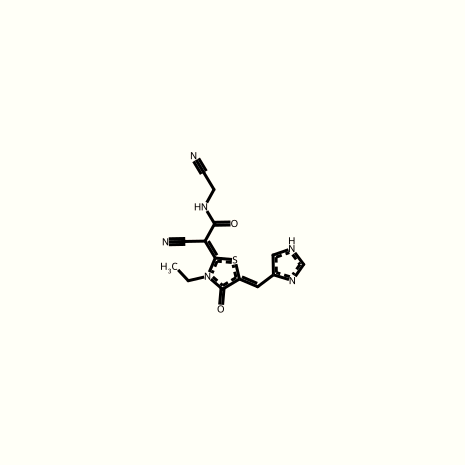 CCn1c(=O)/c(=C/c2c[nH]cn2)s/c1=C(/C#N)C(=O)NCC#N